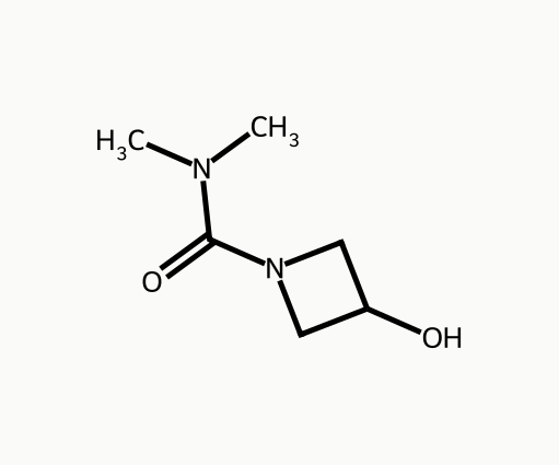 CN(C)C(=O)N1CC(O)C1